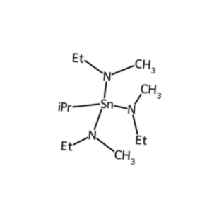 CC[N](C)[Sn]([CH](C)C)([N](C)CC)[N](C)CC